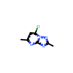 [CH2]c1cc(Cl)n2nc(C)nc2n1